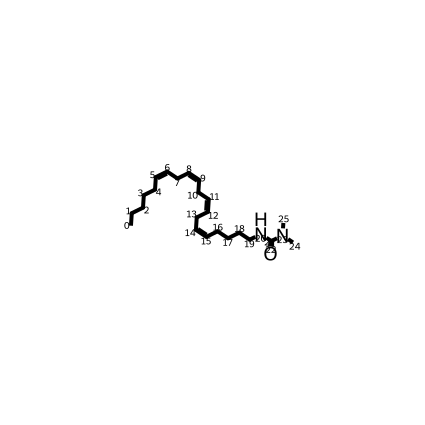 CCCCC/C=C\C/C=C\C/C=C\C/C=C\CCCCNC(=O)N(C)C